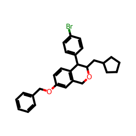 Brc1ccc(C2c3ccc(OCc4ccccc4)cc3COC2CC2CCCC2)cc1